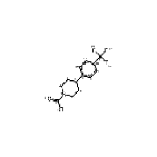 O=C(Cl)N1CCC(c2ccc(C(F)(F)F)cc2)CC1